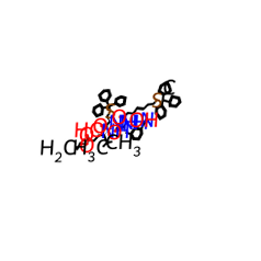 C=CCOC(=O)C[C@H](O)[C@H](NC(=O)[C@@H](CSC(c1ccccc1)(c1ccccc1)c1ccccc1)NC(=O)[C@@H](Cc1cccc(C#N)c1)NC(=O)C[C@H](O)/C=C/CCSC(c1ccccc1)(c1ccccc1)c1ccccc1)C(C)C